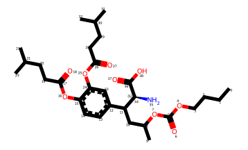 CCCCOC(=O)OC(C)CC(c1ccc(OC(=O)CCC(C)C)c(OC(=O)CCC(C)C)c1)[C@H](N)C(=O)O